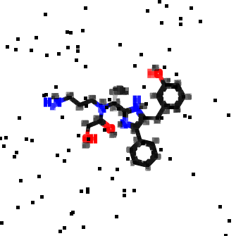 CC(C)(C)[C@H](c1nc(-c2ccccc2)c(Cc2cccc(O)c2)[nH]1)N(CCCN)C(=O)CO